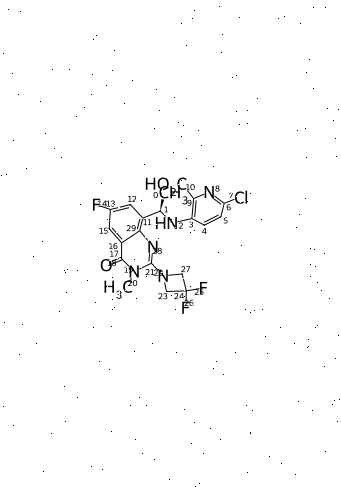 C[C@@H](Nc1ccc(Cl)nc1C(=O)O)c1cc(F)cc2c(=O)n(C)c(N3CC(F)(F)C3)nc12